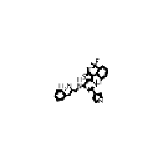 Cc1sc2c(NC[C@@H](N)Cc3ccccc3)nc(-c3ccncc3)nc2c1-c1c(Cl)cccc1C(C)(F)F